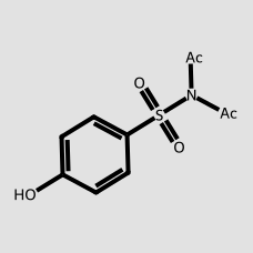 CC(=O)N(C(C)=O)S(=O)(=O)c1ccc(O)cc1